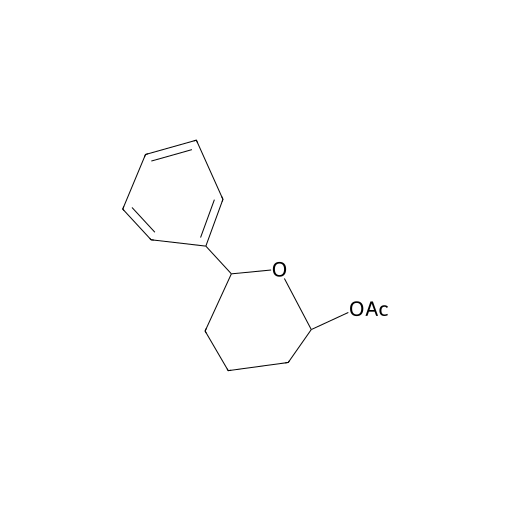 CC(=O)OC1CCCC(c2ccccc2)O1